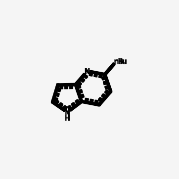 CCCCc1ccc2[nH]ccc2n1